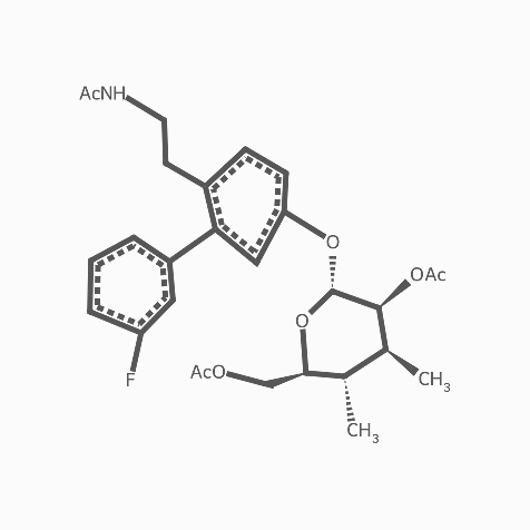 CC(=O)NCCc1ccc(O[C@H]2O[C@H](COC(C)=O)[C@@H](C)[C@H](C)[C@@H]2OC(C)=O)cc1-c1cccc(F)c1